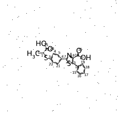 CC(Sc1ccc(-c2nc(C(=O)O)c(-c3ccccc3)s2)cc1)C(=O)O